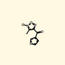 Cc1c(C(=O)c2ccsc2)no[n+]1[O-]